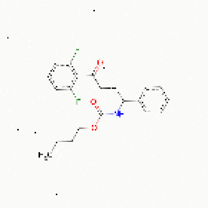 CCCCOC(=O)NC(CCC(=O)c1c(F)cccc1F)c1ccccc1